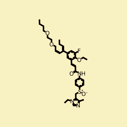 CC/C=C(\C=C/COCCOCCCC)c1cc(F)c(OCC)c(/C=C/C(=O)Nc2ccc([S+]([O-])Cc3c(C)ncn3CC)cc2)c1